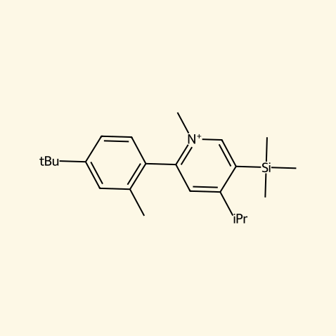 Cc1cc(C(C)(C)C)ccc1-c1cc(C(C)C)c([Si](C)(C)C)c[n+]1C